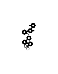 Cc1ccccc1-c1cc2c3ccccc3n(-c3cccc(-c4cccc5oc(=O)c6ccccc6c45)c3)c2cc1C